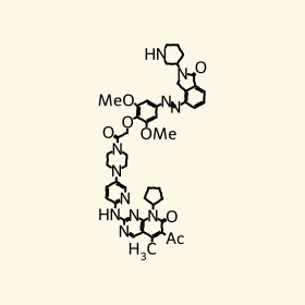 COc1cc(N=Nc2cccc3c2CN(C2CCCNC2)C3=O)cc(OC)c1OCC(=O)N1CCN(c2ccc(Nc3ncc4c(C)c(C(C)=O)c(=O)n(C5CCCC5)c4n3)nc2)CC1